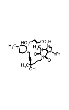 CCCn1cnc2c1c(=O)n(CCCC(C)(O)C#CCN1CCN(C)CC1)c(=O)n2C.O=C(O)C=CC(=O)O